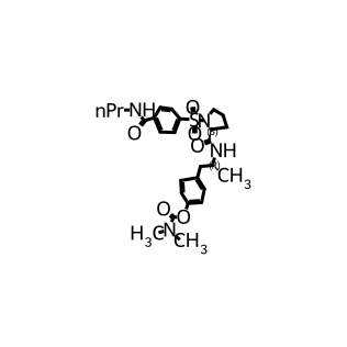 CCCNC(=O)c1ccc(S(=O)(=O)N2CCC[C@H]2C(=O)N[C@H](C)Cc2ccc(OC(=O)N(C)C)cc2)cc1